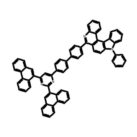 c1ccc(-n2c3ccccc3c3c4c(ccc32)c(-c2ccc(-c3ccc(-c5cc(-c6cc7ccccc7c7ccccc67)nc(-c6cc7ccccc7c7ccccc67)n5)cc3)cc2)nc2ccccc24)cc1